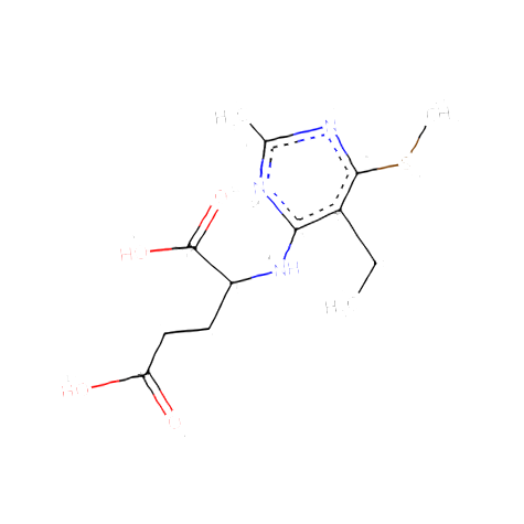 CCc1c(NC(CCC(=O)O)C(=O)O)nc(C)nc1SC